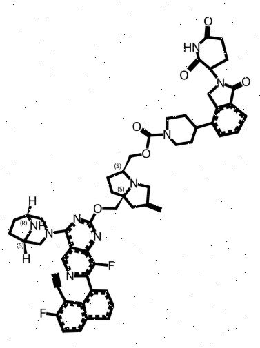 C#Cc1c(F)ccc2cccc(-c3ncc4c(N5C[C@H]6CC[C@@H](C5)N6)nc(OC[C@@]56CC[C@@H](COC(=O)N7CCC(c8cccc9c8CN(C8CCC(=O)NC8=O)C9=O)CC7)N5CC(=C)C6)nc4c3F)c12